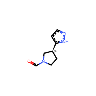 O=CN1CC[C@H](c2ccn[nH]2)C1